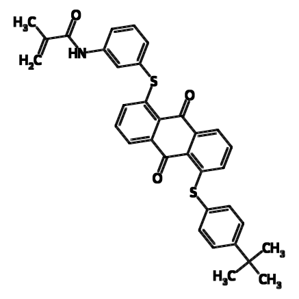 C=C(C)C(=O)Nc1cccc(Sc2cccc3c2C(=O)c2cccc(Sc4ccc(C(C)(C)C)cc4)c2C3=O)c1